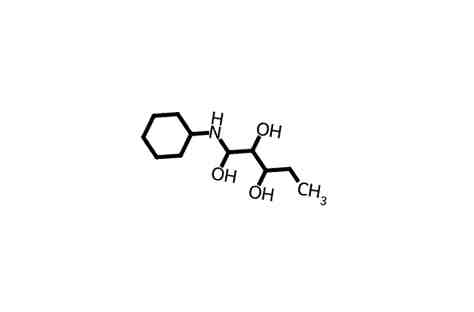 CCC(O)C(O)C(O)NC1CCCCC1